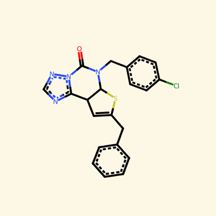 O=C1N(Cc2ccc(Cl)cc2)C2SC(Cc3ccccc3)=CC2c2ncnn21